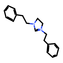 C1=[N+](CCc2ccccc2)CCN1CCc1ccccc1